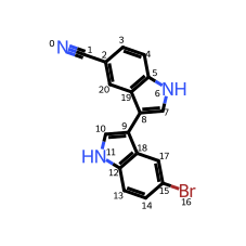 N#Cc1ccc2[nH]cc(-c3c[nH]c4ccc(Br)cc34)c2c1